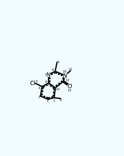 Cc1ccc(Cl)c2nc(C)n(C)c(=O)c12